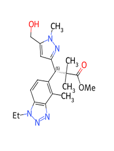 CCn1nnc2c(C)c([C@H](c3cc(CO)n(C)n3)C(C)(C)C(=O)OC)ccc21